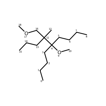 CCCCC(CCCC)(OC)C(C)(CCC)COC